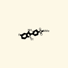 CCn1c(-c2ccc(S(=O)(=O)NC)cc2)c(N)c2cc(F)ccc21